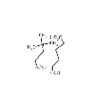 CCCCCCCCCCCC[N+](C)(C)C.O=C([O-])CCCCC(=O)O